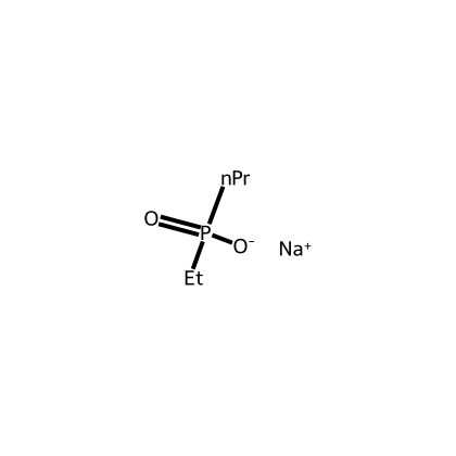 CCCP(=O)([O-])CC.[Na+]